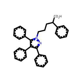 O=C(O)C(CCCn1nc(-c2ccccc2)c(-c2ccccc2)c1-c1ccccc1)c1ccccc1